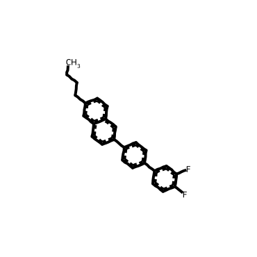 CCCCc1ccc2cc(-c3ccc(-c4ccc(F)c(F)c4)cc3)ccc2c1